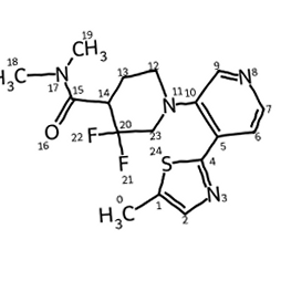 Cc1cnc(-c2ccncc2N2CCC(C(=O)N(C)C)C(F)(F)C2)s1